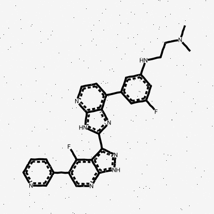 CN(C)CCNc1cc(F)cc(-c2ccnc3[nH]c(-c4n[nH]c5ncc(-c6cccnc6)c(F)c45)nc23)c1